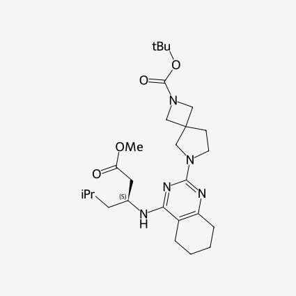 COC(=O)C[C@H](CC(C)C)Nc1nc(N2CCC3(CN(C(=O)OC(C)(C)C)C3)C2)nc2c1CCCC2